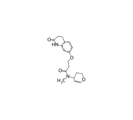 CN(C(=O)CCOc1ccc2c(c1)NC(=O)CC2)C1C=COCC1